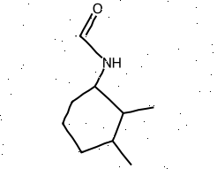 CC1CCCC(N[C]=O)C1C